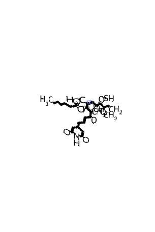 C=CCC=CCC(=O)O[C@@H](/C(C)=C\[C@@H](C)[C@H](OS)C(C=C)OC)[C@H](C)C(=O)CCCC1CC(=O)NC(=O)C1